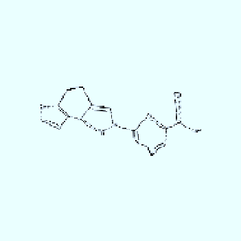 O=C(O)c1cccc(-n2cc3c(n2)-c2ccsc2CC3)c1